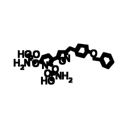 NP(=O)(O)Oc1ccc(-c2cc(Cc3ccc(OCc4ccccc4)cc3)no2)c(OP(N)(=O)O)n1